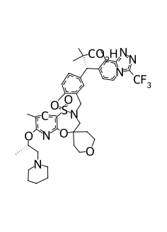 Cc1ccc([C@@H](c2ccn3c(C(F)(F)F)nnc3c2C)C(C)(C)C(=O)O)cc1CN1CC2(CCOCC2)Oc2nc(O[C@@H](C)CN3CCCCC3)c(C)cc2S1(=O)=O